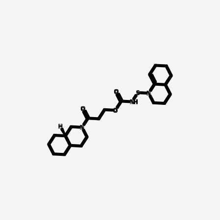 O=C(NSN1CCCC2CCCC=C21)OCCC(=O)N1CCC2CCCC[C@@H]2C1